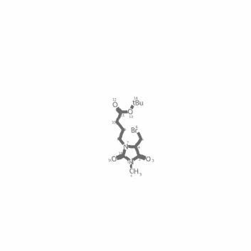 CN1C(=O)C(CBr)N(CCCC(=O)OC(C)(C)C)C1=O